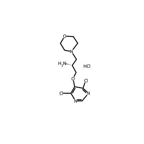 Cl.N[C@@H](COc1c(Cl)ncnc1Cl)CN1CCOCC1